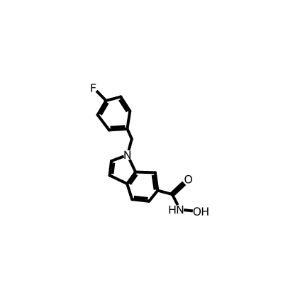 O=C(NO)c1ccc2ccn(Cc3ccc(F)cc3)c2c1